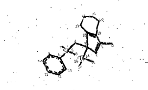 CC1=C[C](C[Si](C)(C)c2ccccc2)([Ti]([CH3])([CH3])[CH3])C2=C1CCCC2